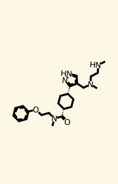 CNCCN(C)Cc1c[nH]nc1[C@H]1CC[C@@H](C(=O)N(C)CCOc2ccccc2)CC1